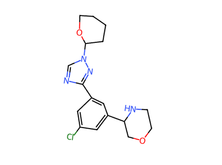 Clc1cc(-c2ncn(C3CCCCO3)n2)cc(C2COCCN2)c1